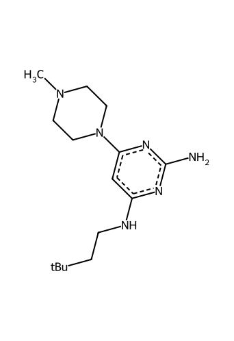 CN1CCN(c2cc(NCCC(C)(C)C)nc(N)n2)CC1